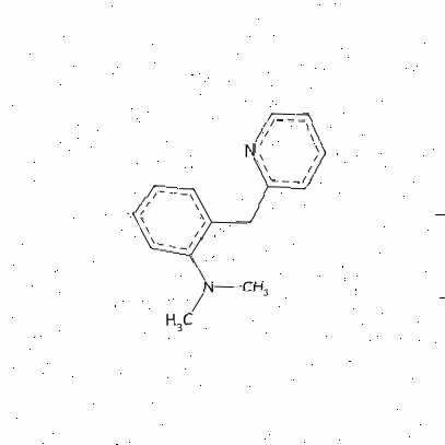 CN(C)c1c[c]ccc1Cc1ccccn1